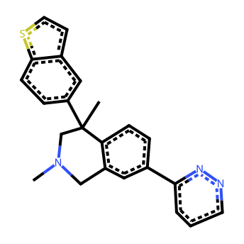 CN1Cc2cc(-c3cccnn3)ccc2C(C)(c2ccc3sccc3c2)C1